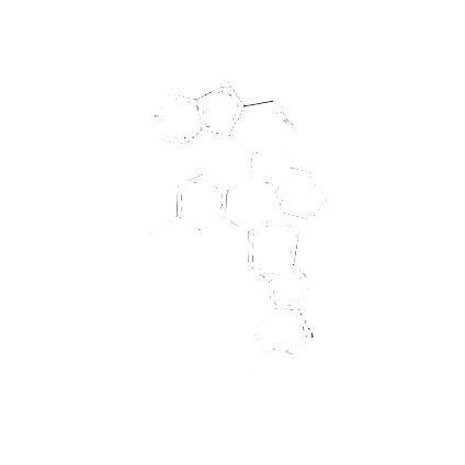 Nc1ccc(N2c3ccccc3C3C=Cc4sc5ccccc5c4C32)c(-c2ccc3oc4ccc(N)cc4c3c2)c1